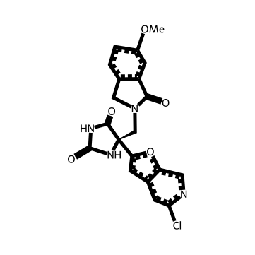 COc1ccc2c(c1)C(=O)N(C[C@@]1(c3cc4cc(Cl)ncc4o3)NC(=O)NC1=O)C2